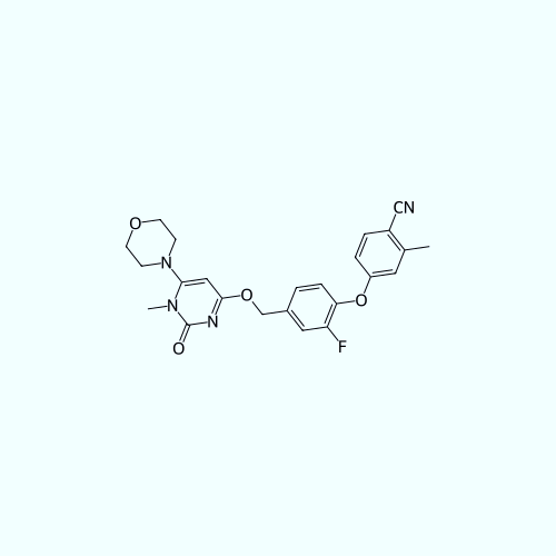 Cc1cc(Oc2ccc(COc3cc(N4CCOCC4)n(C)c(=O)n3)cc2F)ccc1C#N